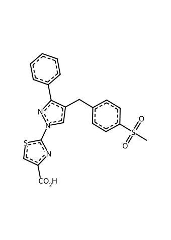 CS(=O)(=O)c1ccc(Cc2cn(-c3nc(C(=O)O)cs3)nc2-c2ccccc2)cc1